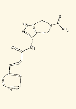 NC(=O)N1Cc2[nH]nc(NC(=O)C=Cc3ccncc3)c2C1